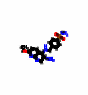 COc1ccc2c(NCc3ccc(S(N)(=O)=O)cc3)c(N)cnc2n1